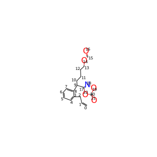 C=CCc1ccccc1C(CCCCOC=O)c1noc(=O)o1